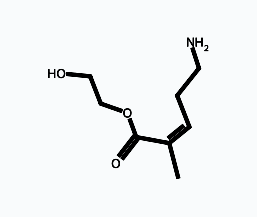 CC(=CCCN)C(=O)OCCO